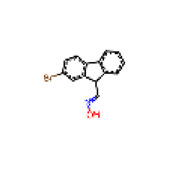 ON=CC1c2ccccc2-c2ccc(Br)cc21